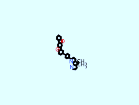 CC1(C)c2cccnc2-c2nc(-c3ccc(-c4ccc5oc6cc7c(cc6c5c4)oc4ccccc47)cc3)ccc21